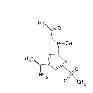 C[C@H](N)c1cc(N(C)CC(N)=O)nc(S(C)(=O)=O)c1